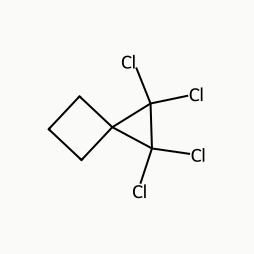 ClC1(Cl)C(Cl)(Cl)C12CCC2